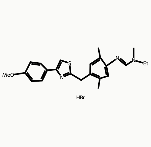 Br.CCN(C)C=Nc1cc(C)c(Cc2nc(-c3ccc(OC)cc3)cs2)cc1C